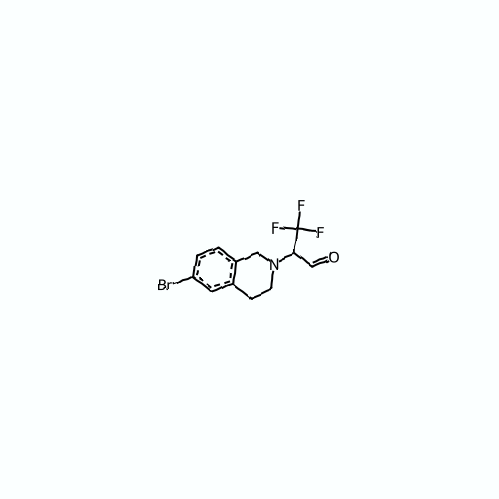 O=CC(N1CCc2cc(Br)ccc2C1)C(F)(F)F